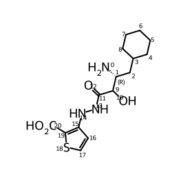 N[C@H](CC1CCCCC1)C(O)C(=O)NNc1ccsc1C(=O)O